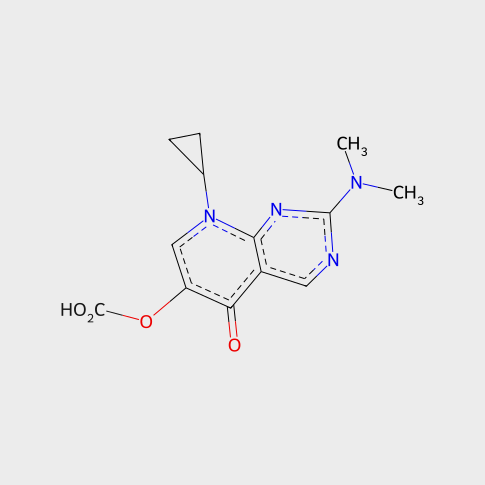 CN(C)c1ncc2c(=O)c(OC(=O)O)cn(C3CC3)c2n1